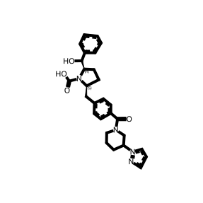 O=C(c1ccc(C[C@@H]2CC[C@H](C(O)c3ccccc3)N2C(=O)O)cc1)N1CCCC(n2cccn2)C1